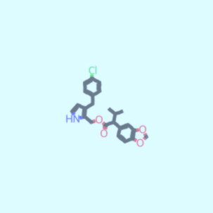 CC(C)C(C(=O)OCc1[nH]ccc1Cc1ccc(Cl)cc1)c1ccc2c(c1)OCO2